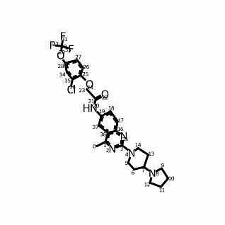 Cc1nc(N2CCC(N3CCCC3)CC2)nc2ccc(NC(=O)COc3ccc(OC(F)(F)F)cc3Cl)cc12